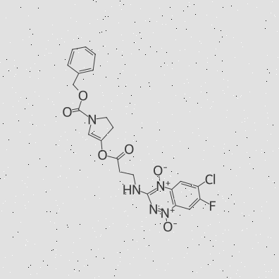 O=C(CCNc1n[n+]([O-])c2cc(F)c(Cl)cc2[n+]1[O-])OC1=CN(C(=O)OCc2ccccc2)CC1